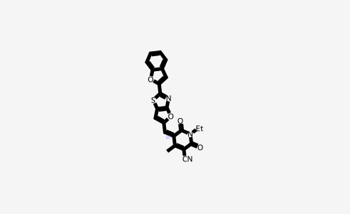 CCN1C(=O)C(C#N)=C(C)/C(=C/c2cc3sc(-c4cc5ccccc5o4)nc3o2)C1=O